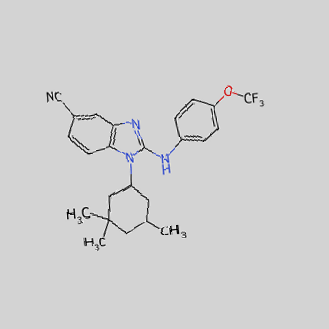 CC1CC(n2c(Nc3ccc(OC(F)(F)F)cc3)nc3cc(C#N)ccc32)CC(C)(C)C1